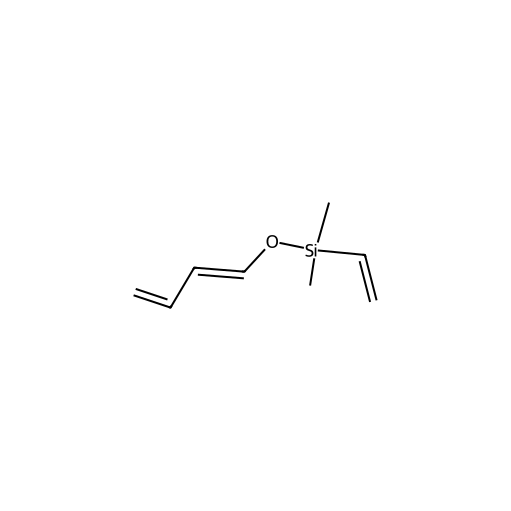 C=C/C=C/O[Si](C)(C)C=C